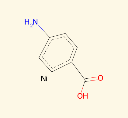 Nc1ccc(C(=O)O)cc1.[Ni]